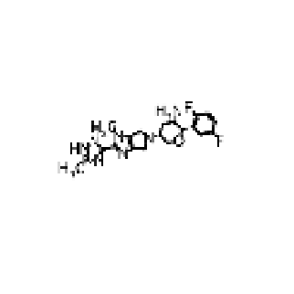 CN1N=C(c2nc3c(n2C)CN([C@H]2CO[C@H](c4cc(F)ccc4F)[C@@H](N)C2)C3)NN1